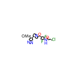 COc1cc2c(cc1-c1cccn3c(C(=O)c4cc(F)c(NC(=O)/C=C/CCl)c(F)c4)ccc13)ncn2C